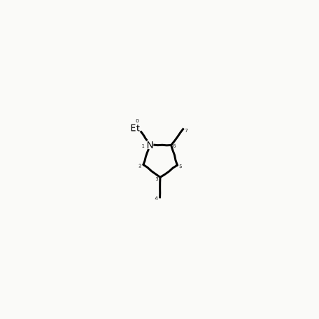 CCN1CC(C)CC1C